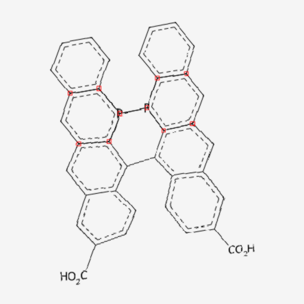 O=C(O)c1ccc2c(-c3c(P(c4ccccc4)c4ccccc4)ccc4cc(C(=O)O)ccc34)c(P(c3ccccc3)c3ccccc3)ccc2c1